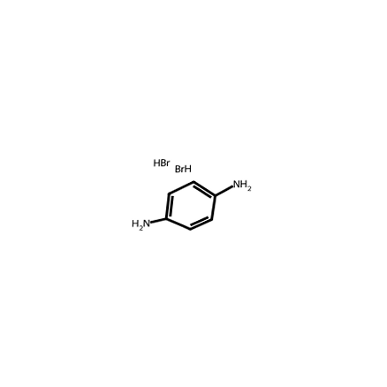 Br.Br.Nc1ccc(N)cc1